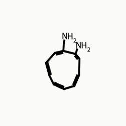 Nc1ccccccccc1N